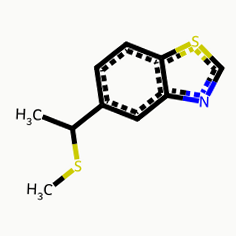 CSC(C)c1ccc2scnc2c1